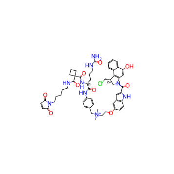 C[N+](C)(CCOc1ccc2[nH]c(C(=O)N3C[C@@H](CCl)c4c3cc(O)c3ccccc43)cc2c1)Cc1ccc(NC(=O)[C@H](CCCNC(N)=O)NC(=O)C2(C(=O)NCCCCCN3C(=O)C=CC3=O)CCC2)cc1